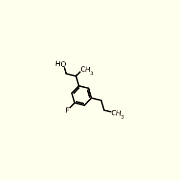 CCCc1cc(F)cc([C](C)CO)c1